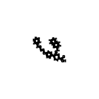 O=C(O)N1CCC(c2ccc(OCCOCc3cccnc3)cc2)C(OCc2ccc3ccccc3c2)C1